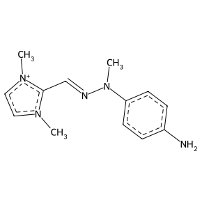 CN(/N=C/c1n(C)cc[n+]1C)c1ccc(N)cc1